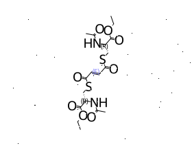 CCOC(=O)[C@H](CSC(=O)/C=C/C(=O)SC[C@H](NC(C)=O)C(=O)OCC)NC(C)=O